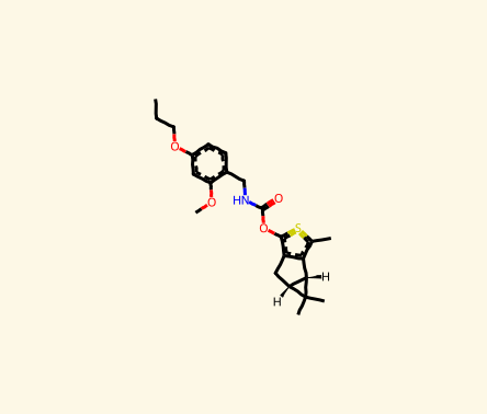 CCCOc1ccc(CNC(=O)Oc2sc(C)c3c2C[C@@H]2[C@H]3C2(C)C)c(OC)c1